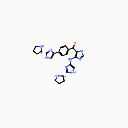 O=C(c1ccc(-c2c[nH]c([C@@H]3CCCN3)n2)cc1)c1[nH]cnc1Nc1c[nH]c([C@@H]2CCCN2)n1